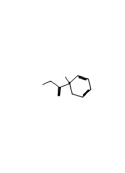 NCC(=O)C1(N)C=CC=CC1